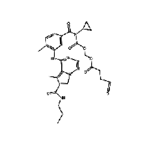 CCCNC(=O)c1cn2ncnc(Nc3cc(C(=O)N(C(=O)OCOC(=O)CCC=O)C4CC4)ccc3C)c2c1C